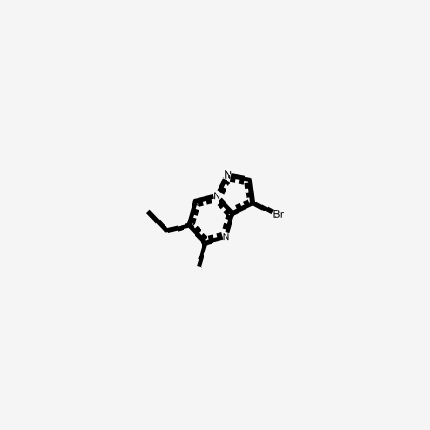 CCc1cn2ncc(Br)c2nc1C